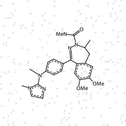 CNC(=O)N1N=C(c2ccc(N(C)c3nccn3C)cc2)c2cc(OC)c(OC)cc2CC1C